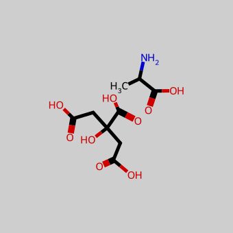 CC(N)C(=O)O.O=C(O)CC(O)(CC(=O)O)C(=O)O